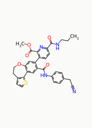 CCCNC(=O)c1ccc(-c2cc3c(cc2C(=O)Nc2ccc(CC#N)cc2)-c2sccc2CCO3)c(C(=O)OC)n1